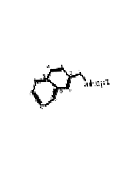 [CH2]CCCCCCCc1ccc2ccccc2c1